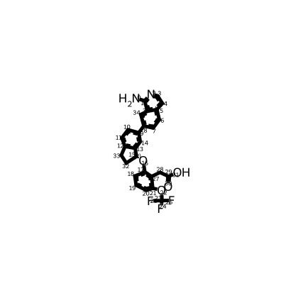 Nc1nccc2ccc(-c3ccc4c(c3)[C@H](Oc3cccc(OC(F)(F)F)c3CC(=O)O)CC4)cc12